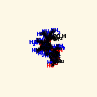 CCCCCCCCCCCCCC(=O)N[C@@H](CO)C(=O)N[C@H](C(=O)N[C@@H](Cc1ccc(O)cc1)C(=O)N[C@@H](CCCNC(=N)N)C(=O)N[C@@H](CCCNC(=N)N)C(=O)NCC(=O)N[C@@H](C)C(=O)N[C@@H](CCCNC(=N)N)C(=O)N[C@@H](CCCNC(=N)N)C(=O)N[C@@H](Cc1c[nH]c2ccccc12)C(=O)N[C@@H](CCCNC(=N)N)C(=O)N[C@@H](CCCCN)C(=O)N[C@@H](CC(C)C)C(=O)O)[C@@H](C)CC